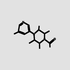 CC(=O)N1C(C)C(C)N(c2cncc(C)c2)C(C)C1C